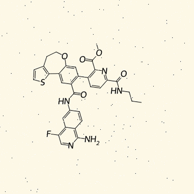 CCCNC(=O)c1ccc(-c2cc3c(cc2C(=O)Nc2ccc4c(N)ncc(F)c4c2)-c2sccc2CCO3)c(C(=O)OC)n1